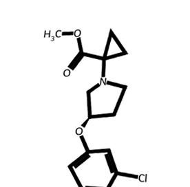 COC(=O)C1(N2CC[C@@H](Oc3cccc(Cl)c3)C2)CC1